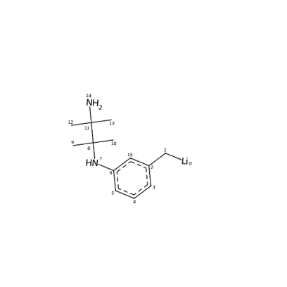 [Li][CH2]c1cccc(NC(C)(C)C(C)(C)N)c1